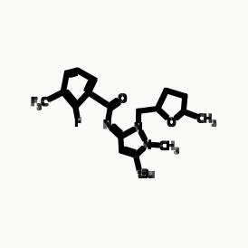 CC1CCC(Cn2/c(=N\C(=O)c3cccc(C(F)(F)F)c3F)cc(C(C)(C)C)n2C)O1